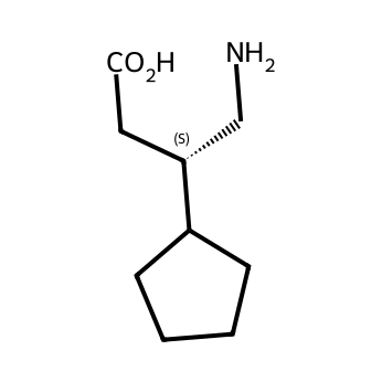 NC[C@@H](CC(=O)O)C1CCCC1